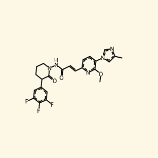 COc1nc(C=CC(=O)NN2CCCC(c3cc(F)c(F)c(F)c3)C2=O)ccc1-n1cnc(C)c1